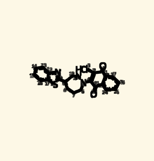 O=C1C(Cl)=C(N2CCCC(c3nc4ccccc4s3)CN2)C(=O)c2ccccc21